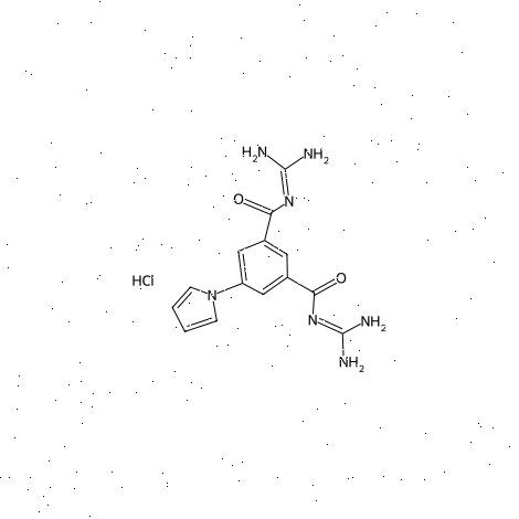 Cl.NC(N)=NC(=O)c1cc(C(=O)N=C(N)N)cc(-n2cccc2)c1